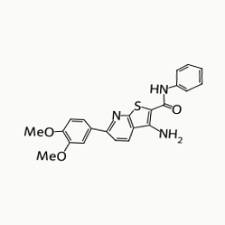 COc1ccc(-c2ccc3c(N)c(C(=O)Nc4ccccc4)sc3n2)cc1OC